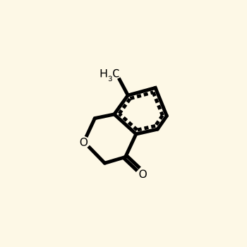 Cc1cccc2c1COCC2=O